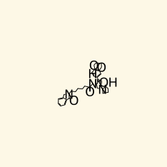 O=C(CCCCCN1Cc2ccccc2C1=O)NC(CN1CCCC1)[C@H](O)c1ccc2c(c1)OCCO2